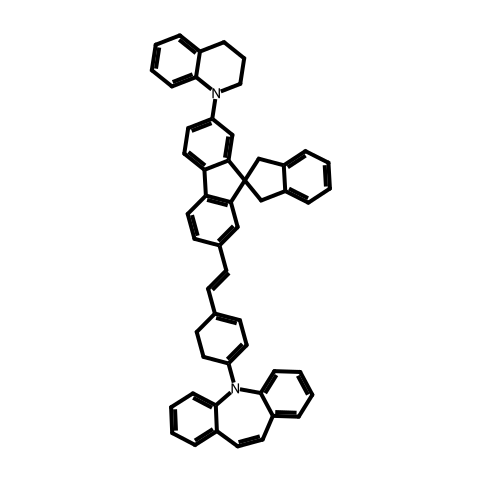 C1=Cc2ccccc2N(C2=CC=C(/C=C/c3ccc4c(c3)C3(Cc5ccccc5C3)c3cc(N5CCCc6ccccc65)ccc3-4)CC2)c2ccccc21